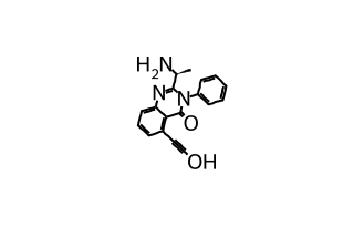 C[C@H](N)c1nc2cccc(C#CO)c2c(=O)n1-c1ccccc1